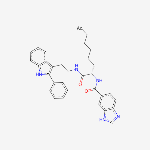 CC(=O)CCCCC[C@H](NC(=O)c1ccc2nc[nH]c2c1)C(=O)NCCc1c(-c2ccccc2)[nH]c2ccccc12